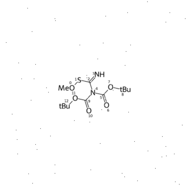 COSC(=N)N(C(=O)OC(C)(C)C)C(=O)OC(C)(C)C